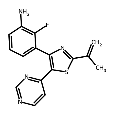 C=C(C)c1nc(-c2cccc(N)c2F)c(-c2ccncn2)s1